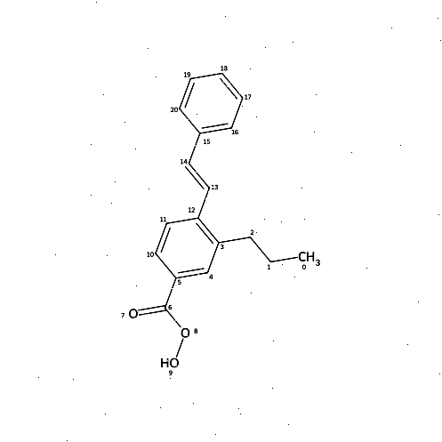 CCCc1cc(C(=O)OO)ccc1C=Cc1ccccc1